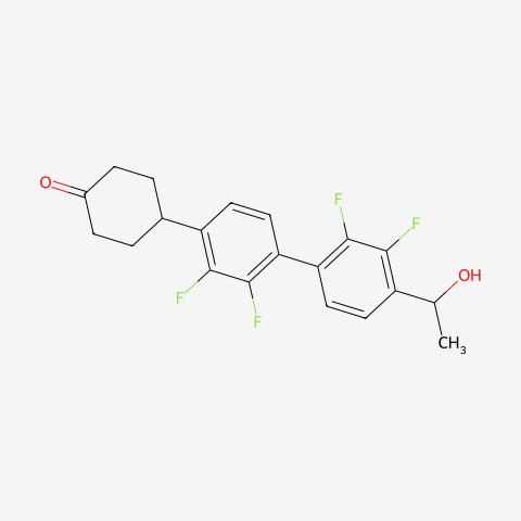 CC(O)c1ccc(-c2ccc(C3CCC(=O)CC3)c(F)c2F)c(F)c1F